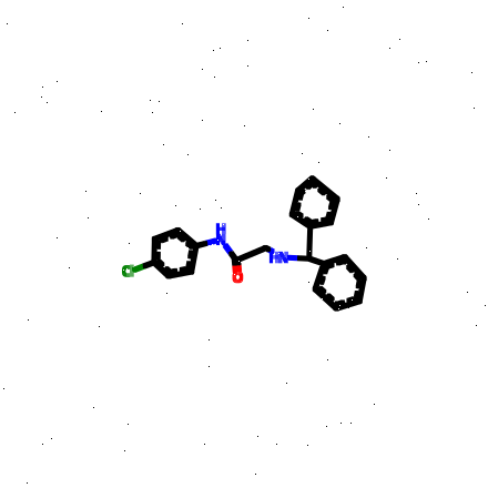 O=C(CNC(c1ccccc1)c1ccccc1)Nc1ccc(Cl)cc1